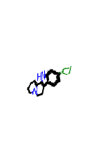 Clc1ccc2c3c([nH]c2c1)C1=CCCCN1CC3